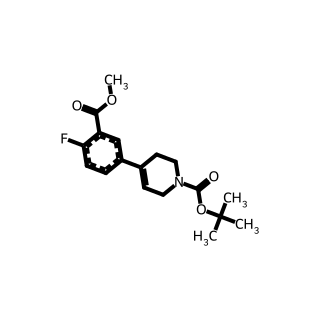 COC(=O)c1cc(C2=CCN(C(=O)OC(C)(C)C)CC2)ccc1F